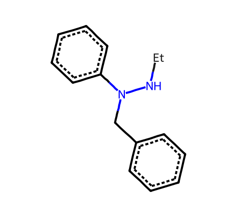 CCNN(Cc1ccccc1)c1ccccc1